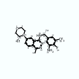 CC[C@@H]1COCCN1c1ccc2c(C)nnc(N[C@H](C)c3cc(N)c(F)c(C(F)(F)F)c3)c2c1